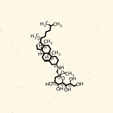 CO[C@@]1(CN[C@@H]2CC[C@@]3(C)C(=CC[C@H]4[C@@H]5CC[C@H]([C@H](C)CCCC(C)C)[C@@]5(C)CC[C@@H]43)C2)C[C@H](O)[C@@H](O)[C@H]([C@H](O)[C@@H](O)CO)O1